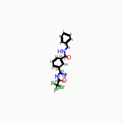 O=C(NCc1ccccc1)c1cccc(-c2noc(C(F)(F)Br)n2)c1